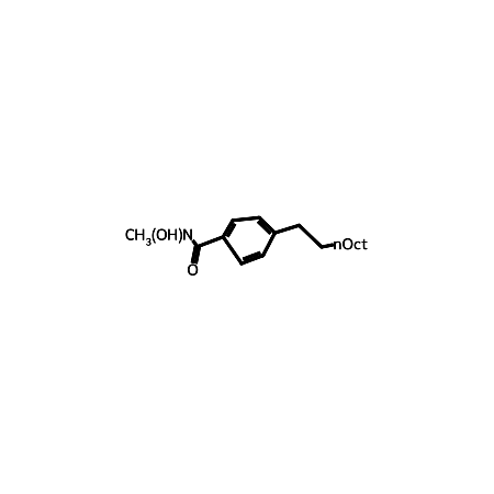 CCCCCCCCCCc1ccc(C(=O)N(C)O)cc1